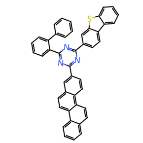 c1ccc(-c2ccccc2-c2nc(-c3ccc4c(ccc5c6ccccc6ccc45)c3)nc(-c3ccc4c(c3)sc3ccccc34)n2)cc1